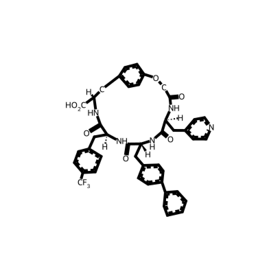 O=C1COc2ccc(cc2)C[C@@H](C(=O)O)NC(=O)[C@H](Cc2ccc(C(F)(F)F)cc2)NC(=O)[C@@H](Cc2ccc(-c3ccccc3)cc2)NC(=O)[C@H](Cc2ccncc2)N1